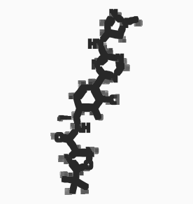 Cc1c([C@@H](C)NC(=O)c2noc(C(C)(C)C)n2)ccc(-c2ncnc(Nc3cnn(C)c3)n2)c1Cl